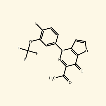 CC(=O)c1nn(-c2ccc(I)c(OC(F)(F)F)c2)c2ccoc2c1=O